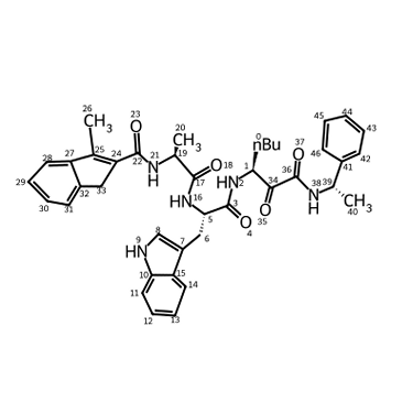 CCCC[C@H](NC(=O)[C@H](Cc1c[nH]c2ccccc12)NC(=O)[C@H](C)NC(=O)C1=C(C)c2ccccc2C1)C(=O)C(=O)N[C@@H](C)c1ccccc1